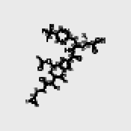 CC(=O)O[C@H](CC(C(C)C)N(C)C(=O)CCC1CC1)c1nc(C(=O)N[C@@H](Cc2ncc(C(F)(F)F)cn2)C[C@H](C)C(=O)O)cs1